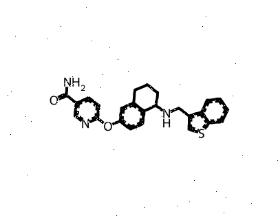 NC(=O)c1ccc(Oc2ccc3c(c2)CCCC3NCc2csc3ccccc23)nc1